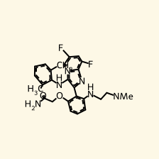 CNCCNc1cccc(OCC(N)=O)c1-c1nc2c(F)cc(F)cn2c1Nc1c(C)cccc1C